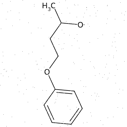 CC([O])CCOc1ccccc1